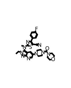 CCn1nc2ncc(N3CCN(C(=O)N4CCOCC4)CC3)cc2c1N(C)c1nc(-c2ccc(F)cc2)c(C#N)s1